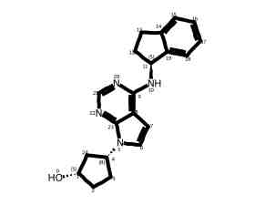 O[C@H]1[CH]C[C@@H](n2ccc3c(N[C@H]4CCc5ccccc54)ncnc32)C1